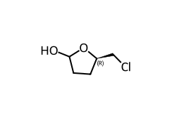 OC1CC[C@H](CCl)O1